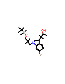 CC(O)C(C)(C)c1cn(CC(C)(C)CO[Si](C)(C)C(C)(C)C)c2cc(Br)ccc12